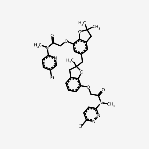 CCc1ccc(N(C)C(=O)COc2cc(CC3(C)Cc4cccc(OCC(=O)N(C)c5ccc(Cl)nn5)c4O3)cc3c2OC(C)(C)C3)nc1